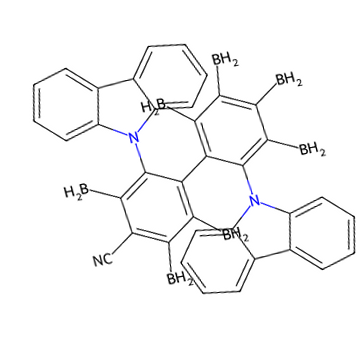 Bc1c(B)c(B)c(-n2c3ccccc3c3ccccc32)c(-c2c(B)c(B)c(C#N)c(B)c2-n2c3ccccc3c3ccccc32)c1B